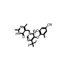 Cc1nc(C)c(Cn2cnc(C(C)(F)F)c(Oc3c(C)cc(C#N)cc3C(F)(F)F)c2=O)c(=O)[nH]1